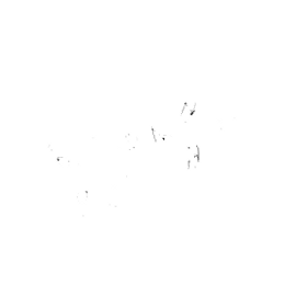 COC1=C(OC)CC(Sc2ccnc(-c3ccccn3)n2)C=C1